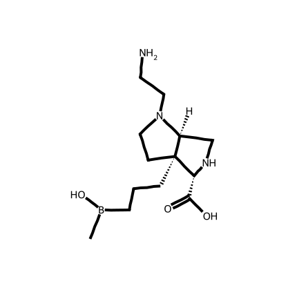 CB(O)CCC[C@]12CCN(CCN)[C@H]1CN[C@@H]2C(=O)O